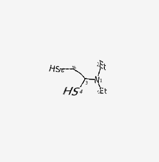 CCN(CC)C(S)CS